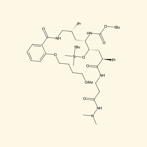 COCCCCOc1ccccc1C(=O)NC[C@@H](C[C@H](NC(=O)OC(C)(C)C)[C@H](C[C@H](C(=O)NCCC(=O)NN(C)C)C(C)C)O[Si](C)(C)C(C)(C)C)C(C)C